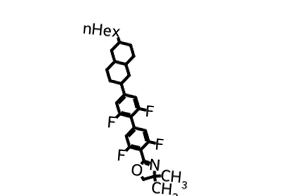 CCCCCCC1CCC2CC(c3cc(F)c(-c4cc(F)c(C5=NC(C)(C)CO5)c(F)c4)c(F)c3)CCC2C1